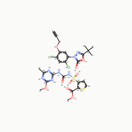 C#CCOc1cc(-n2nc(C(C)(C)C)oc2=O)c(Cl)cc1Cl.COC(=O)c1sccc1S(=O)(=O)NC(=O)Nc1nc(C)nc(OC)n1